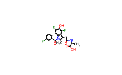 Cc1c(CC(=O)NC(C)C(=O)O)c2c(F)c(O)c(F)cc2n1C(=O)c1cccc(F)c1